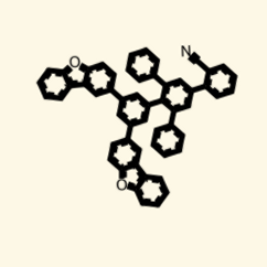 N#Cc1ccccc1-c1cc(-c2ccccc2)c(-c2cc(-c3ccc4oc5ccccc5c4c3)cc(-c3ccc4oc5ccccc5c4c3)c2)c(-c2ccccc2)c1